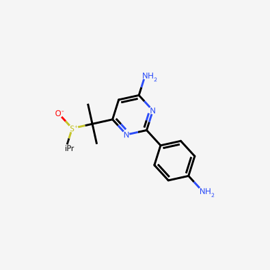 CC(C)[S+]([O-])C(C)(C)c1cc(N)nc(-c2ccc(N)cc2)n1